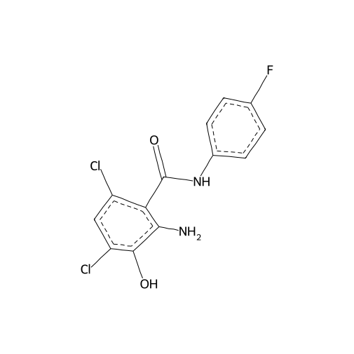 Nc1c(O)c(Cl)cc(Cl)c1C(=O)Nc1ccc(F)cc1